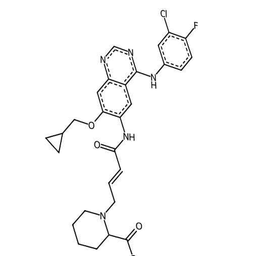 COC(=O)C1CCCCN1C/C=C/C(=O)Nc1cc2c(Nc3ccc(F)c(Cl)c3)ncnc2cc1OCC1CC1